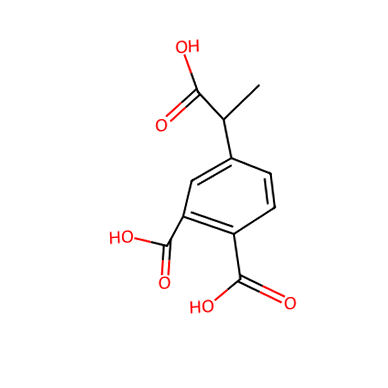 CC(C(=O)O)c1ccc(C(=O)O)c(C(=O)O)c1